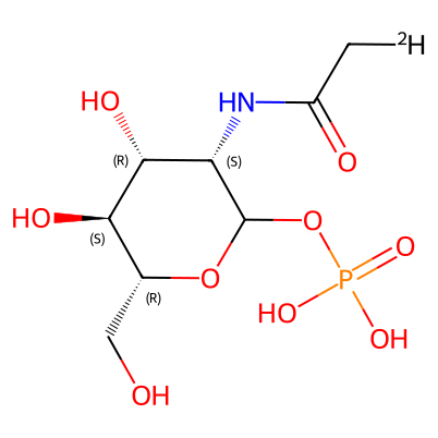 [2H]CC(=O)N[C@@H]1C(OP(=O)(O)O)O[C@H](CO)[C@@H](O)[C@@H]1O